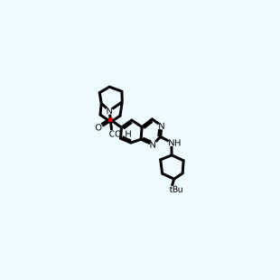 CC(C)(C)C1CCC(Nc2ncc3cc(C(=O)N4C5CCCC4CC(C(=O)O)C5)ccc3n2)CC1